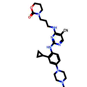 CN1CCN(c2ccc(Nc3ncc(C#N)c(NCCCN4CCCOC4=O)n3)c(C3CC3)c2)CC1